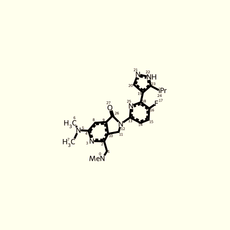 CNCc1nc(N(C)C)cc2c1CN(c1ccc(F)c(-c3cn[nH]c3C(C)C)n1)C2=O